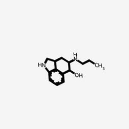 CCCNC1CC2CNc3cccc(c32)C1O